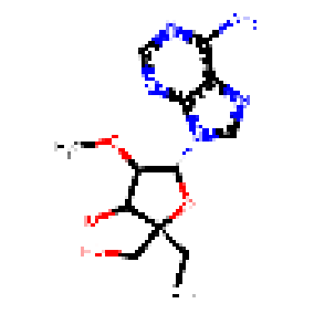 CC[C@]1(CO)O[C@@H](n2cnc3c(N)ncnc32)C(OC)C1O